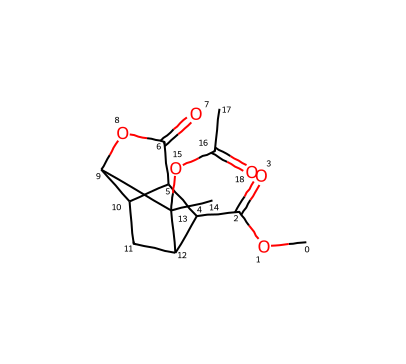 COC(=O)C1C2C(=O)OC3C2CC1C3(C)OC(C)=O